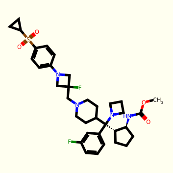 COC(=O)N[C@H]1CCC[C@@H]1C(c1cccc(F)c1)(C1CCN(CC2(F)CN(c3ccc(S(=O)(=O)C4CC4)cc3)C2)CC1)N1CCC1